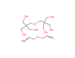 C=CCOCC=C.OCC(CO)(CO)COCC(CO)(CO)CO